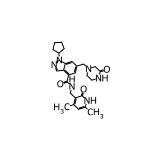 Cc1cc(C)c(CNC(=O)c2cc(CN3CCNC(=O)C3)cc3c2cnn3C2CCCC2)c(=O)[nH]1